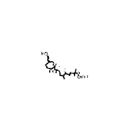 CC(CCC[C@]1(C)OCC(=CCO)CC[C@H]1O)C(=O)C=CC(C)(C)OOO